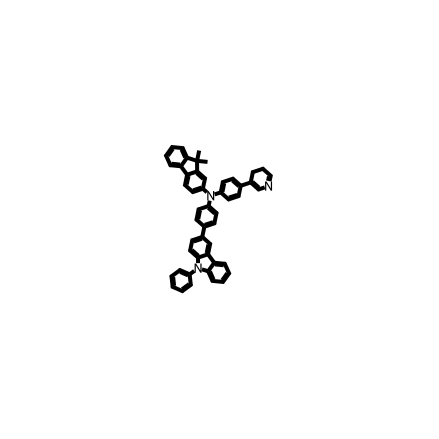 CC1(C)c2ccccc2-c2ccc(N(c3ccc(C4=CN=CCC4)cc3)c3ccc(-c4ccc5c(c4)c4ccccc4n5-c4ccccc4)cc3)cc21